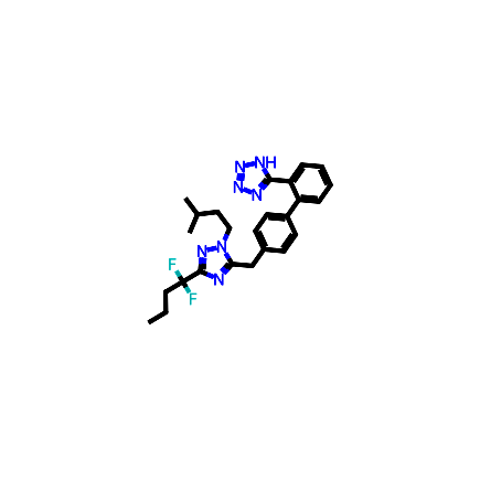 CCCC(F)(F)c1nc(Cc2ccc(-c3ccccc3-c3nnn[nH]3)cc2)n(CCC(C)C)n1